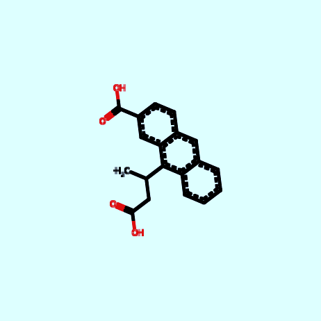 [CH2]C(CC(=O)O)c1c2ccccc2cc2ccc(C(=O)O)cc12